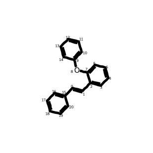 C(=C\c1ccccc1Oc1ccccc1)/c1ccccc1